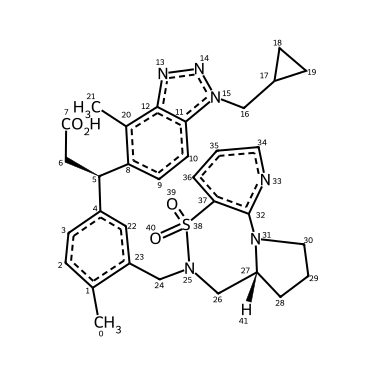 Cc1ccc([C@@H](CC(=O)O)c2ccc3c(nnn3CC3CC3)c2C)cc1CN1C[C@H]2CCCN2c2ncccc2S1(=O)=O